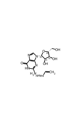 C=CCCCCCC.Nc1nc2c(ncn2[C@@H]2O[C@H](CO)[C@@H](O)[C@H]2O)c(=O)[nH]1